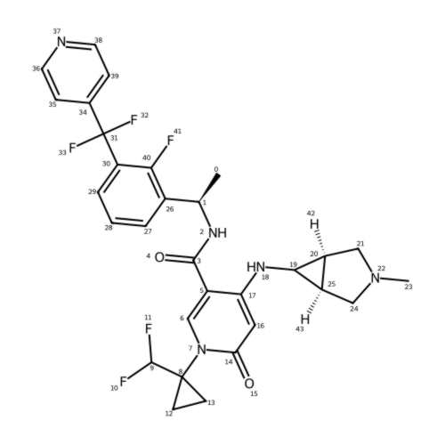 C[C@@H](NC(=O)c1cn(C2(C(F)F)CC2)c(=O)cc1NC1[C@H]2CN(C)C[C@@H]12)c1cccc(C(F)(F)c2ccncc2)c1F